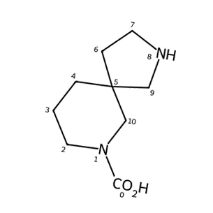 O=C(O)N1CCCC2(CCNC2)C1